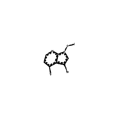 Fc1ccnc2c1c(Br)cn2SI